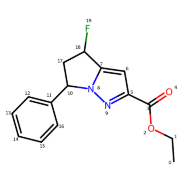 CCOC(=O)c1cc2n(n1)C(c1ccccc1)CC2F